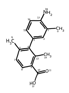 Cc1cc(-c2c(C)ccc(C(=O)O)c2C)ccc1N